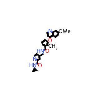 COc1ccc2c(Oc3cccc(C(=O)NCc4ccnc(C(=O)NC5CC5)c4)c3C)ccnc2c1